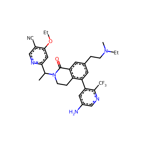 CCOc1cc(C(C)N2CCc3c(cc(CCN(C)CC)cc3-c3cc(N)cnc3C(F)(F)F)C2=O)ncc1C#N